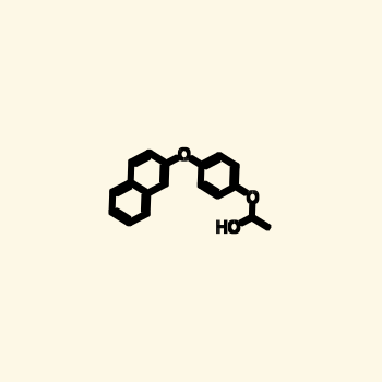 CC(O)Oc1ccc(Oc2ccc3ccccc3c2)cc1